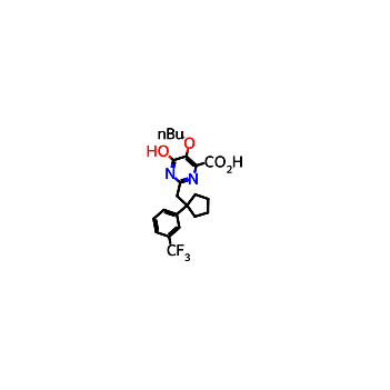 CCCCOc1c(O)nc(CC2(c3cccc(C(F)(F)F)c3)CCCC2)nc1C(=O)O